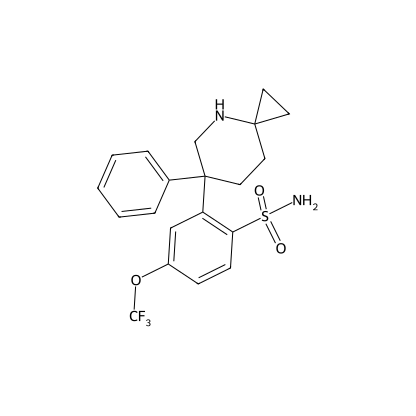 NS(=O)(=O)c1ccc(OC(F)(F)F)cc1C1(c2ccccc2)CCC2(CC2)NC1